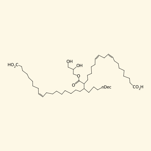 CCCCCCCCCCCCCC(CCCCCCCC/C=C\CCCCCCCC(=O)O)C(CCCCC/C=C\C/C=C\CCCCCCCC(=O)O)C(=O)OCC(O)CO